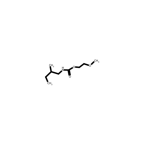 CCC(C)CNC(=O)OCCOC